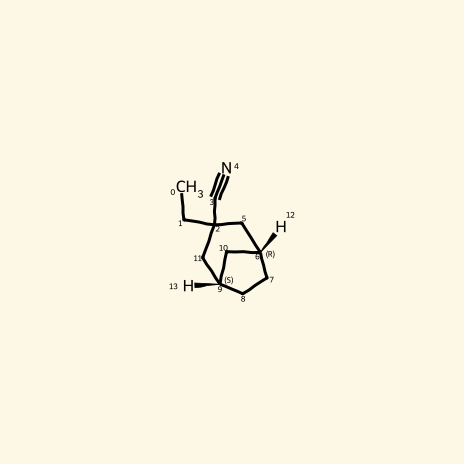 CCC1(C#N)C[C@@H]2CC[C@@H](C2)C1